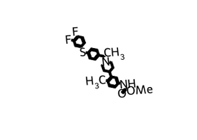 COC(=O)Nc1ccc(C)c(C2CCN(C(C)c3ccc(Sc4ccc(F)c(F)c4)cc3)CC2)c1